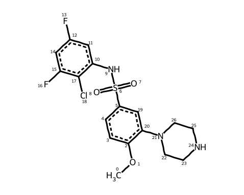 COc1ccc(S(=O)(=O)Nc2cc(F)cc(F)c2Cl)cc1N1CCNCC1